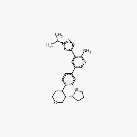 CC(C)n1cc(-c2cc(-c3ccc(C4CCOCC4)c([C@@H]4CCCN4)c3)cnc2N)cn1